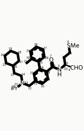 CSCC[C@@H](C=O)NC(=O)c1ccc(CN(CCC2CCCCC2)C(C)C)cc1-c1ccccc1C